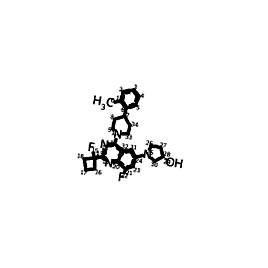 Cc1ccccc1C1CCN(c2nc(C3(F)CCC3)nc3c(F)cc(N4CC[C@H](O)C4)cc23)CC1